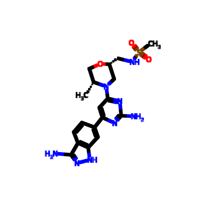 C[C@@H]1CO[C@H](CNS(C)(=O)=O)CN1c1cc(-c2ccc3c(N)n[nH]c3c2)nc(N)n1